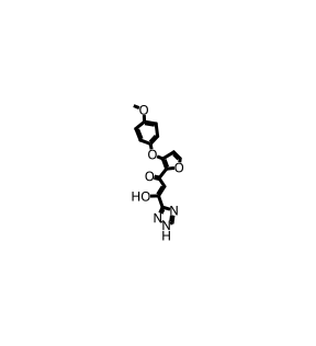 COc1ccc(Oc2ccoc2C(=O)C=C(O)c2nc[nH]n2)cc1